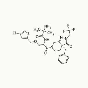 CC(C)(N)C(=O)N[C@H](COCc1cc(Cl)cs1)C(=O)N1CC[C@]2(Cc3ccccn3)C(=O)N(CC(F)(F)F)N=C2C1